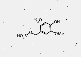 COc1cc(COS(=O)(=O)O)ccc1O.O